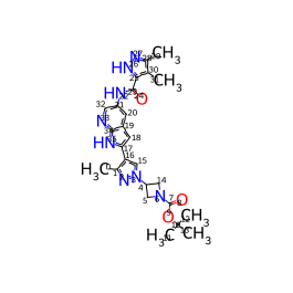 Cc1nn(C2CN(C(=O)OC(C)(C)C)C2)cc1-c1cc2cc(NC(=O)c3[nH]nc(C)c3C)cnc2[nH]1